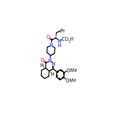 COc1ccc(C2=NN(C3CCN(C(=O)[C@@H](CC(C)C)NC(=O)O)CC3)C(=O)[C@@H]3CCCC[C@H]23)cc1OC